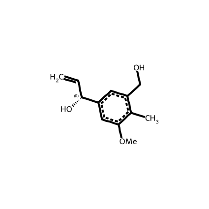 C=C[C@@H](O)c1cc(CO)c(C)c(OC)c1